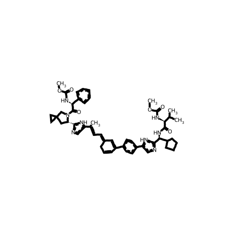 COC(=O)N[C@H](C(=O)N[C@H](c1ncc(-c2ccc(C3=C/C(=C/C=C(\C)c4cnc([C@@H]5CC6(CC6)CN5C(=O)[C@H](NC(=O)OC)c5ccccc5)[nH]4)CC=C3)cc2)[nH]1)C1CCCC1)C(C)C